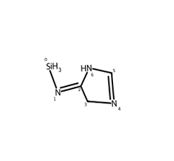 [SiH3]/N=C1/CN=CN1